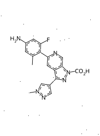 Cc1cc(N)cc(F)c1-c1cc2c(-c3cnn(C)c3)nn(C(=O)O)c2cn1